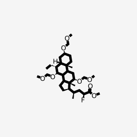 CC[C@H]1[C@@H](OCOC)C2C3CC[C@H]([C@H](C)C[C@H](F)C(=O)OC)[C@@]3(C)[C@@H](OCOC)CC2[C@@]2(C)CC[C@@H](OCOC)C[C@@H]12